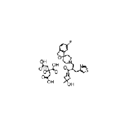 CC1(O)CN(C(=O)C(Cc2cscn2)CN2CCC3(CC2)OCc2ccc(F)cc23)C1.O=C(O)CC(O)(CC(=O)O)C(=O)O